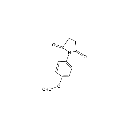 O=COc1ccc(N2C(=O)CCC2=O)cc1